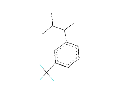 CC(C)C(C)c1cccc(C(F)(F)F)c1